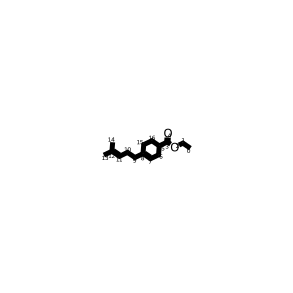 CCOC(=O)C1CC=C(CCC=C(C)C)CC1